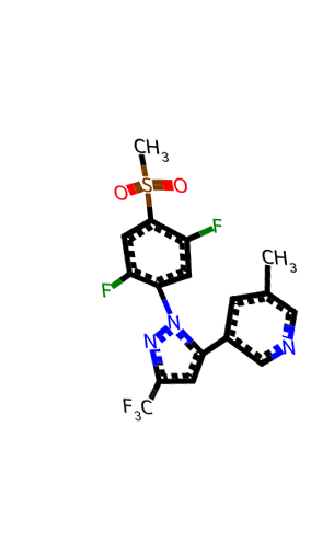 Cc1cncc(-c2cc(C(F)(F)F)nn2-c2cc(F)c(S(C)(=O)=O)cc2F)c1